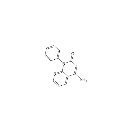 Nc1cc(=O)n(-c2ccccc2)c2ncccc12